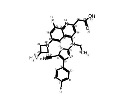 CCN(c1nc(-c2ccc(F)cc2)c(C#N)s1)c1cc(CC(=O)O)nc2c(F)cc(N3CC(N)C3)cc12